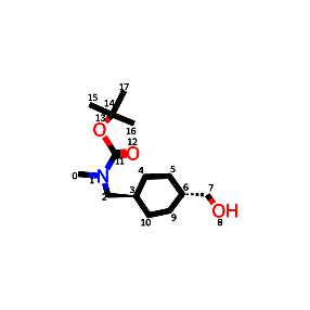 CN(C[C@H]1CC[C@H](CO)CC1)C(=O)OC(C)(C)C